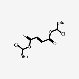 CCCCC(Cl)OC(=O)/C=C/C(=O)OC(Cl)CCCC